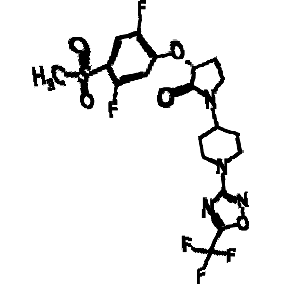 CS(=O)(=O)c1cc(F)c(O[C@@H]2CCN(C3CCN(c4noc(C(F)(F)F)n4)CC3)C2=O)cc1F